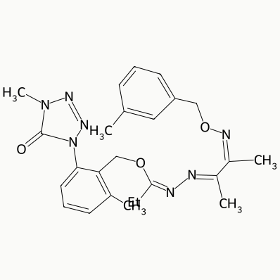 CCC(=NN=C(C)C(C)=NOCc1cccc(C)c1)OCc1c(C)cccc1-n1nnn(C)c1=O